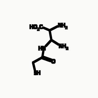 NC(NC(=O)CS)C(N)C(=O)O